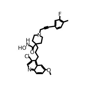 COc1ccc2ncc(Cl)c(CCCC3(C(=O)NO)CCN(CC#Cc4ccc(C)c(F)c4)CC3)c2c1